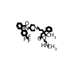 CCC(CCCN1CCC(NC(=O)c2ccccc2-c2ccc(C(F)(F)F)cc2)CC1)(CC(=O)OCCNC)c1ccccc1